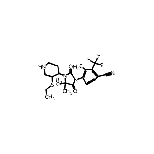 CCSC1CNCCC1N1C(=O)N(c2ccc(C#N)c(C(F)(F)F)c2C)C(=O)C1(C)C